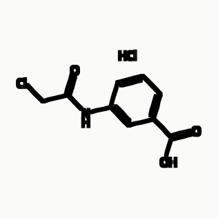 Cl.O=C(CCl)Nc1cccc(C(=O)O)c1